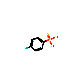 OP(O)(=S)c1ccc(F)cc1